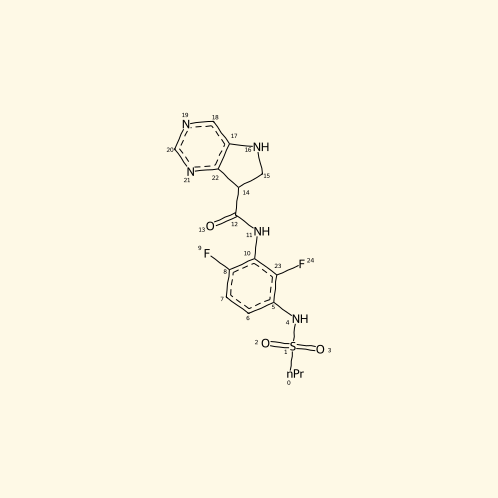 CCCS(=O)(=O)Nc1ccc(F)c(NC(=O)C2CNc3cncnc32)c1F